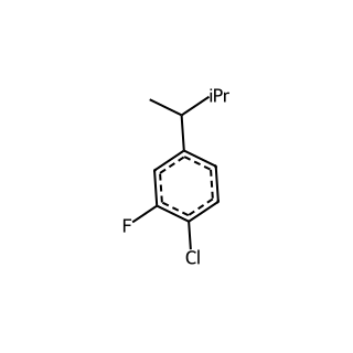 CC(C)C(C)c1ccc(Cl)c(F)c1